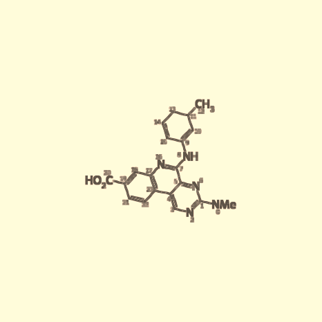 CNc1ncc2c(n1)c(NC1=CC(C)CC=C1)nc1cc(C(=O)O)ccc12